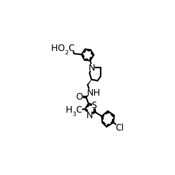 Cc1nc(-c2ccc(Cl)cc2)sc1C(=O)NC[C@@H]1CCCN(c2cccc(CC(=O)O)c2)C1